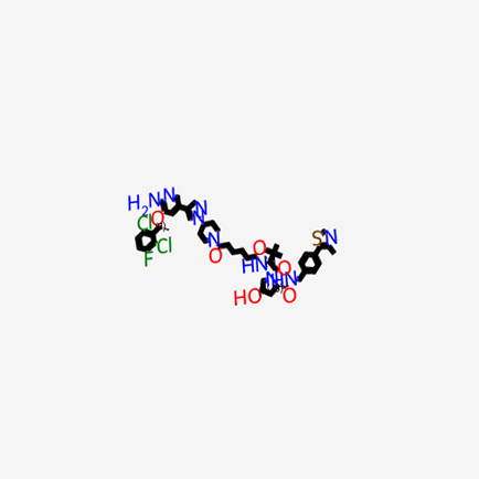 Cc1ncsc1-c1ccc(CNC(=O)[C@@H]2C[C@@H](O)CN2C(=O)[C@@H](NC(=O)CCCCC(=O)N2CCC(n3cc(-c4cnc(N)c(O[C@H](C)c5c(Cl)ccc(F)c5Cl)c4)cn3)CC2)C(C)(C)C)cc1